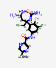 COc1cnc(C(=O)Nc2cc(F)c(F)c(C3(CF)C[C@H](N)NOC(N)=N3)c2)cn1